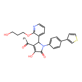 CC(C)C(=O)C1=C(O)C(=O)N(c2ccc(-c3ccsc3)cc2)C1c1cccnc1OCCCO